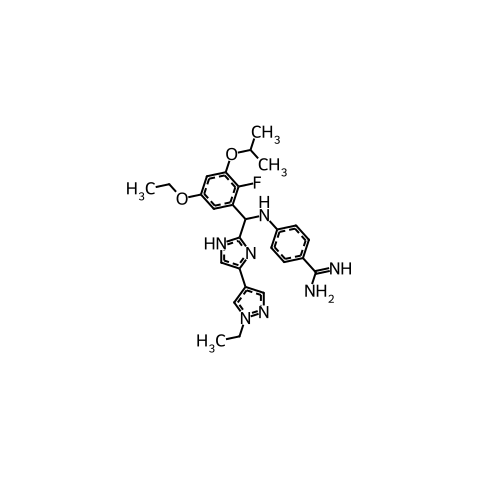 CCOc1cc(OC(C)C)c(F)c(C(Nc2ccc(C(=N)N)cc2)c2nc(-c3cnn(CC)c3)c[nH]2)c1